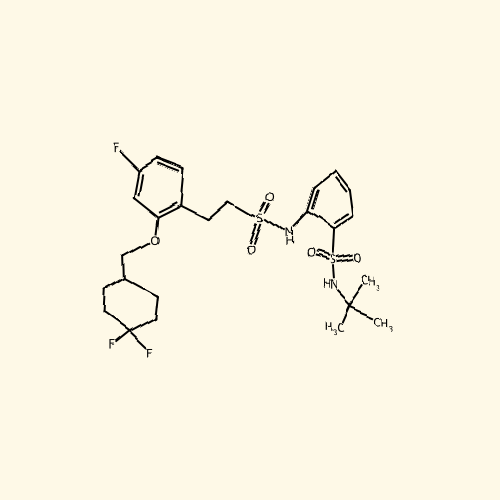 CC(C)(C)NS(=O)(=O)c1ccccc1NS(=O)(=O)CCc1ccc(F)cc1OCC1CCC(F)(F)CC1